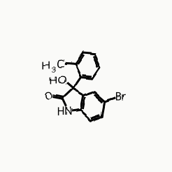 Cc1ccccc1C1(O)C(=O)Nc2ccc(Br)cc21